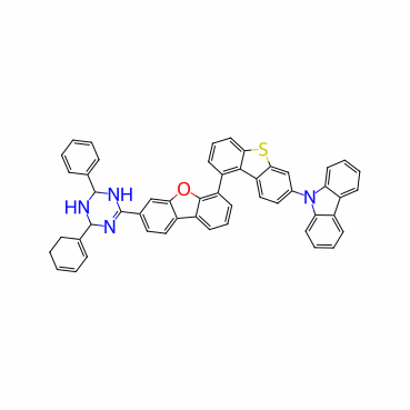 C1=CCCC(C2N=C(c3ccc4c(c3)oc3c(-c5cccc6sc7cc(-n8c9ccccc9c9ccccc98)ccc7c56)cccc34)NC(c3ccccc3)N2)=C1